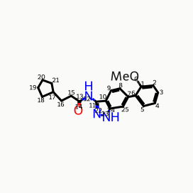 COc1ccccc1-c1ccc2c(NC(=O)CCC3CCCC3)n[nH]c2c1